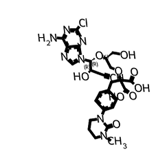 C#C[C@@H](O)[C@@H](O[C@@H](CO)COC(Cc1ccc(N2CCCN(C)C2=O)cc1)(C(=O)O)C(=O)O)n1cnc2c(N)nc(Cl)nc21